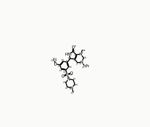 CCCN1CC2=C(C(=O)NC2c2cc(OCC)cc(S(=O)(=O)N3CCN(C)CC3)c2)N(C)C1